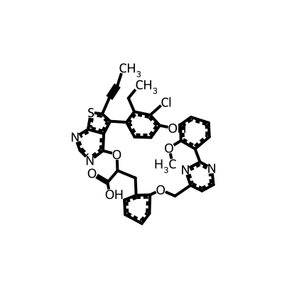 CC#Cc1sc2ncnc(OC(Cc3ccccc3OCc3ccnc(-c4ccccc4OC)n3)C(=O)O)c2c1-c1ccc(O)c(Cl)c1CC